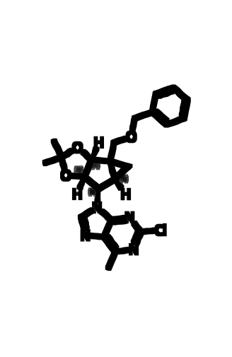 Cc1nc(Cl)nc2c1ncn2[C@H]1[C@@H]2OC(C)(C)O[C@@H]2C2(COCc3ccccc3)C[C@H]12